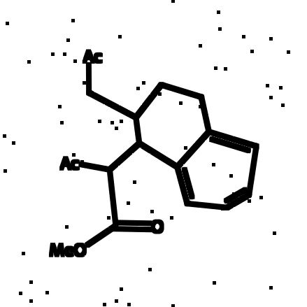 COC(=O)C(C(C)=O)C1c2ccccc2CCC1CC(C)=O